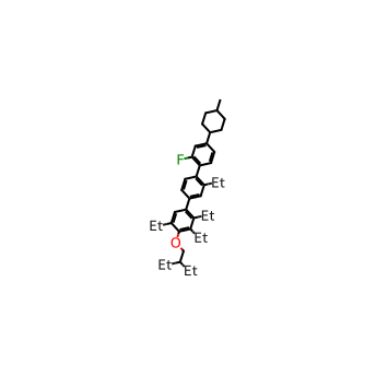 CCc1cc(-c2cc(CC)c(OCC(CC)CC)c(CC)c2CC)ccc1-c1ccc(C2CCC(C)CC2)cc1F